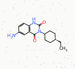 CC[C@H]1CC[C@@H](n2c(=O)[nH]c3ccc(N)cc3c2=O)CC1